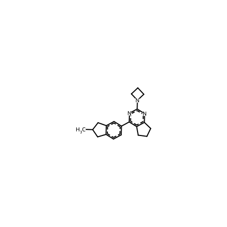 CC1Cc2ccc(-c3nc(N4CCC4)nc4c3CCC4)cc2C1